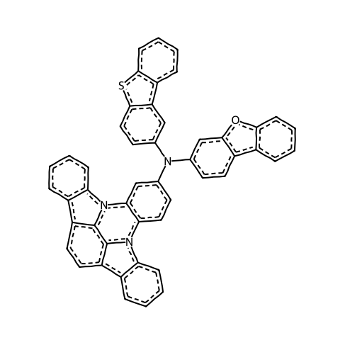 c1ccc2c(c1)oc1cc(N(c3ccc4sc5ccccc5c4c3)c3ccc4c(c3)n3c5ccccc5c5ccc6c7ccccc7n4c6c53)ccc12